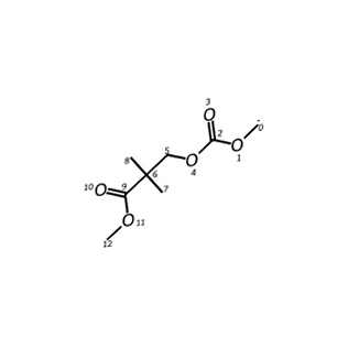 [CH2]OC(=O)OCC(C)(C)C(=O)OC